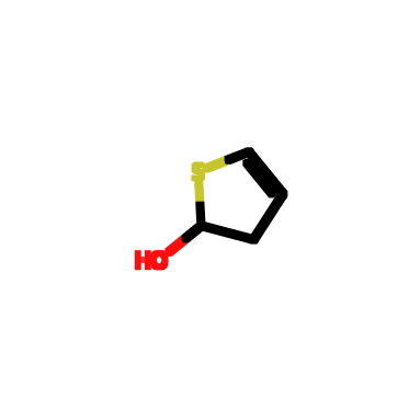 OC1CC=CS1